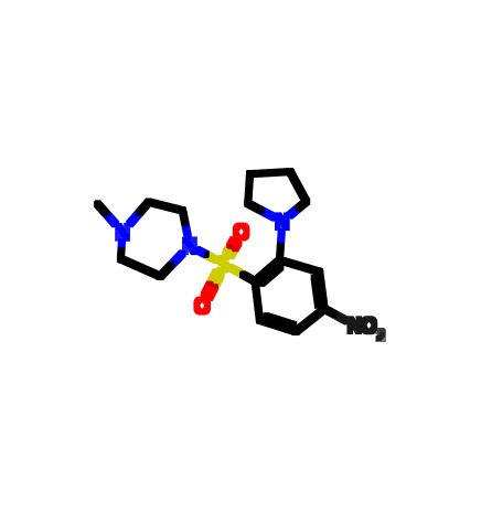 CN1CCN(S(=O)(=O)c2ccc([N+](=O)[O-])cc2N2CCCC2)CC1